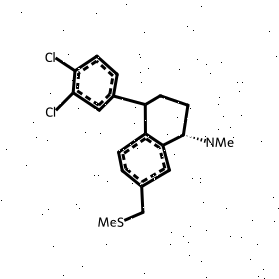 CN[C@H]1CCC(c2ccc(Cl)c(Cl)c2)c2ccc(CSC)cc21